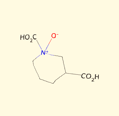 O=C(O)C1CCC[N+]([O-])(C(=O)O)C1